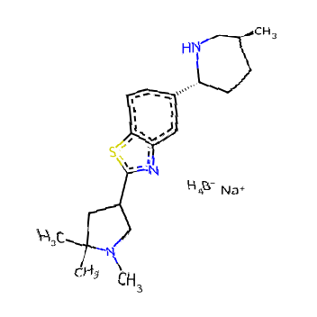 C[C@H]1CC[C@H](c2ccc3sc(C4CN(C)C(C)(C)C4)nc3c2)NC1.[BH4-].[Na+]